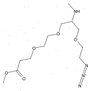 CNC(COCCN=[N+]=[N-])COCCOCCC(=O)OC